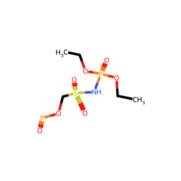 CCOP(=O)(NS(=O)(=O)COP=O)OCC